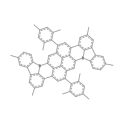 Cc1cc(C)c(-c2cc3c4c(cc5c(-c6c(C)cc(C)cc6C)cc6c7c(cc2c4c57)B2c4ccc(C)cc4-c4cc(C)cc-6c42)B2c4ccc(C)cc4-c4cc(C)cc-3c42)c(C)c1